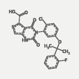 CC(C)(Oc1ccc(Cl)c(-n2c(=O)[nH]c3csc(C(=O)O)c3c2=O)c1)c1ccccc1F